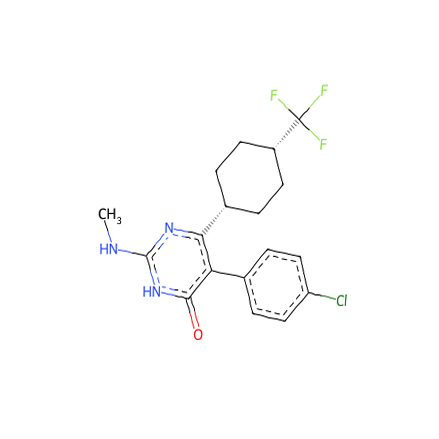 CNc1nc([C@H]2CC[C@@H](C(F)(F)F)CC2)c(-c2ccc(Cl)cc2)c(=O)[nH]1